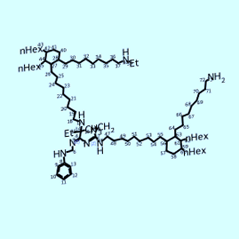 C=N/C(=N\C(=N/CNc1ccccc1)C(C)(CC)NCCCCCCCCCC1C(CCCCCCCCCNCC)CCC(CCCCCC)C1CCCCCC)NCCCCCCCCCC1CCC(CCCCCC)C(CCCCCC)C1CCCCCCCCCN